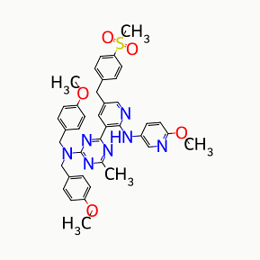 COc1ccc(CN(Cc2ccc(OC)cc2)c2nc(C)nc(-c3cc(Cc4ccc(S(C)(=O)=O)cc4)cnc3Nc3ccc(OC)nc3)n2)cc1